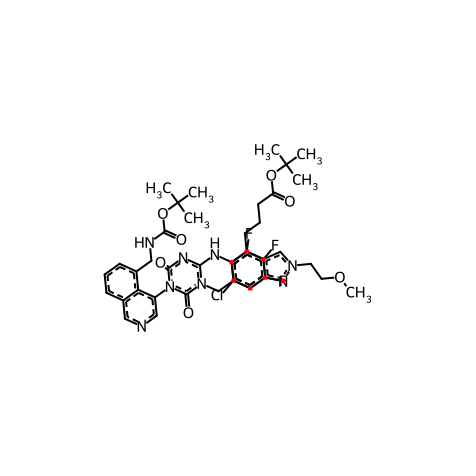 COCCn1cc2c(CCCC(=O)OC(C)(C)C)c(Nc3nc(=O)n(-c4cncc5cccc(CNC(=O)OC(C)(C)C)c45)c(=O)n3Cc3cc(F)c(F)c(F)c3)c(Cl)cc2n1